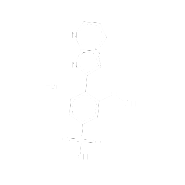 Br.COc1cc(S(C)(=O)=O)ccc1-c1cn2cccnc2n1